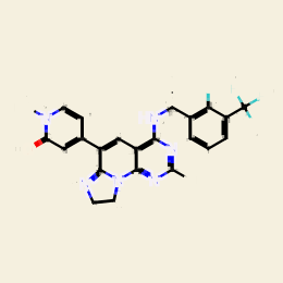 Cc1nc(N[C@H](C)c2cccc(C(F)(F)F)c2F)c2c(n1)N1CCN=C1C(c1ccn(C)c(=O)c1)=C2